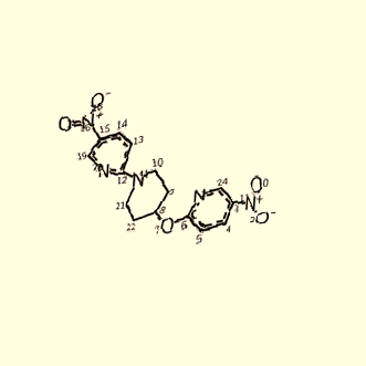 O=[N+]([O-])c1ccc(OC2CCN(c3ccc([N+](=O)[O-])cn3)CC2)nc1